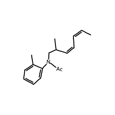 C/C=C\C=C/C(C)CN(C(C)=O)c1ccccc1C